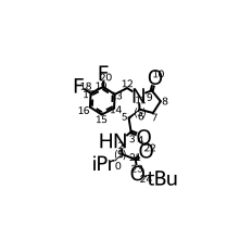 CC(C)[C@H](NC(=O)C[C@@H]1CCC(=O)N1Cc1cccc(F)c1F)C(=O)OC(C)(C)C